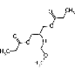 CCC(=O)OCC(COC(=O)CC)OCOC